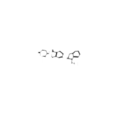 CN(C)[C@H]1c2ccccc2C[C@@H]1Oc1ccc2c(c1)CN(C1CCC(=O)NC1=O)C2=O